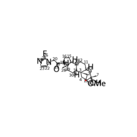 COCC[C@]12CC[C@@](C)(O)C[C@@H]1CC[C@H]1[C@@H]3CC[C@H](C(=O)Cn4ccnc4F)[C@@]3(C)CC[C@@H]12